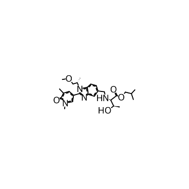 COC[C@H](C)n1c(-c2cc(C)c(=O)n(C)c2)nc2cc(CN[C@H](C(=O)OCC(C)C)[C@@H](C)O)ccc21